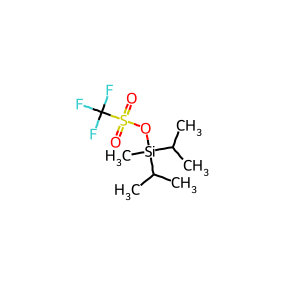 CC(C)[Si](C)(OS(=O)(=O)C(F)(F)F)C(C)C